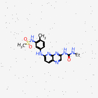 CCNC(=O)Nc1cnc2ccc(Nc3ccc(C)c(NS(C)(=O)=O)c3)nc2n1